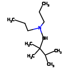 CCCN(BC(C)(C)C(C)C)CCC